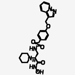 O=C(NO)[C@H](CNS(=O)(=O)c1ccc(OCc2cnn3ccccc23)cc1)N1CCCCC1